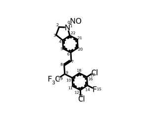 O=NN1CCc2cc(C=CC(c3cc(Cl)c(F)c(Cl)c3)C(F)(F)F)ccc21